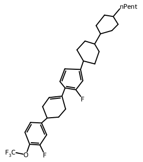 CCCCCC1CCC(C2CCC(c3ccc(C4=CCC(c5ccc(OC(F)(F)F)c(F)c5)CC4)c(F)c3)CC2)CC1